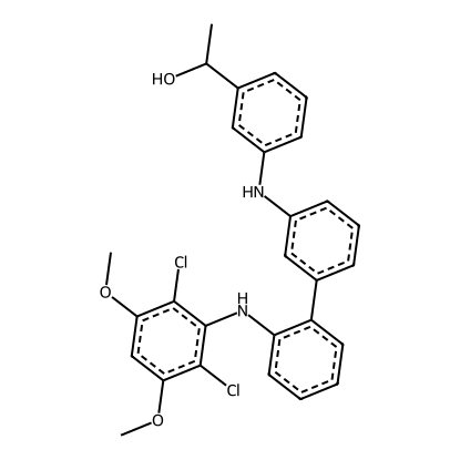 COc1cc(OC)c(Cl)c(Nc2ccccc2-c2cccc(Nc3cccc(C(C)O)c3)c2)c1Cl